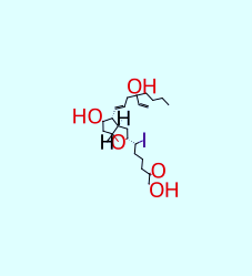 C=CC(O)(CC=C[C@@H]1[C@H]2C[C@H](C(I)CCCC(=O)CO)O[C@@H]2C[C@H]1O)CCCC